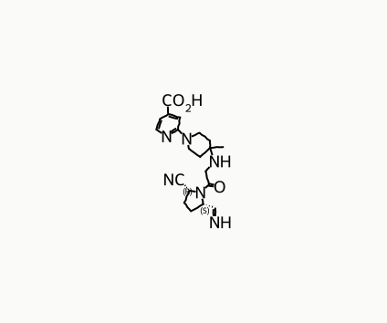 CC1(NCC(=O)N2[C@H](C=N)CC[C@@H]2C#N)CCN(c2cc(C(=O)O)ccn2)CC1